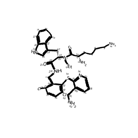 CCN(C(=O)[C@@H](N)CCCCN)[C@@H](Cc1c[nH]c2ccccc12)C(=O)NCc1c(Cl)ccc(Cl)c1Sc1ncccc1CN